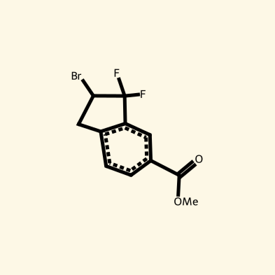 COC(=O)c1ccc2c(c1)C(F)(F)C(Br)C2